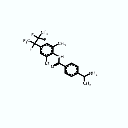 CCc1cc(C(F)(C(F)(F)F)C(F)(F)C(F)(F)F)cc(C)c1NC(=O)c1ccc(C(C)N)cc1